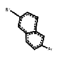 CC(=O)c1ccc2cc(Br)ccc2c1